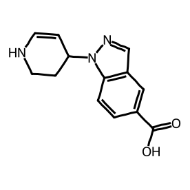 O=C(O)c1ccc2c(cnn2C2C=CNCC2)c1